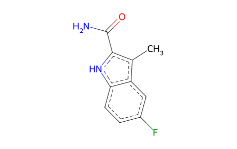 Cc1c(C(N)=O)[nH]c2ccc(F)cc12